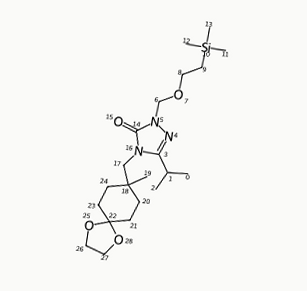 CC(C)c1nn(COCC[Si](C)(C)C)c(=O)n1CC1(C)CCC2(CC1)OCCO2